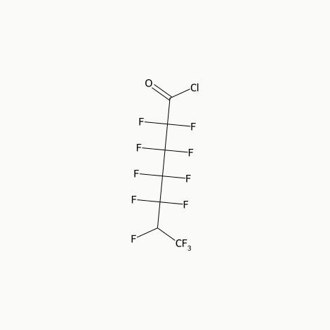 O=C(Cl)C(F)(F)C(F)(F)C(F)(F)C(F)(F)C(F)C(F)(F)F